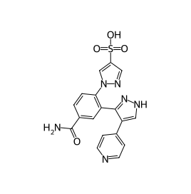 NC(=O)c1ccc(-n2cc(S(=O)(=O)O)cn2)c(-c2n[nH]cc2-c2ccncc2)c1